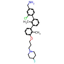 Cc1c(OCCCN2CCC(F)CC2)cccc1-c1cccc(-c2ccc(CN)cc2Cl)c1C